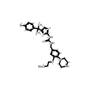 COCCOc1cc(CNC(=O)Nc2nc(C(C)(C)c3ccc(Br)cc3)cs2)ccc1N1CCNCC1